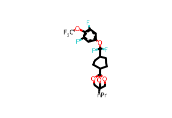 CCCC12COC(C3CCC(C(F)(F)Oc4cc(F)c(OC(F)(F)F)c(F)c4)CC3)(OC1)OC2